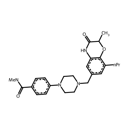 CCCc1cc(CN2CCN(c3ccc(C(=O)NC)cc3)CC2)cc2c1OC(C)C(=O)N2